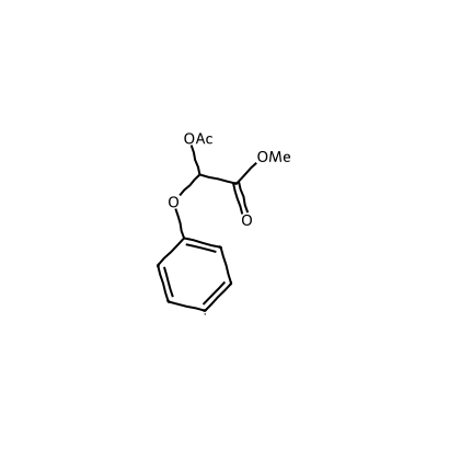 COC(=O)C(OC(C)=O)Oc1cc[c]cc1